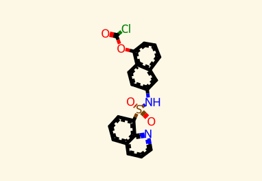 O=C(Cl)Oc1cccc2cc(NS(=O)(=O)c3cccc4cccnc34)ccc12